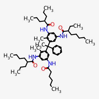 CCCCCC(=O)Nc1cc(NC(=O)C(CCC)CCCC)c(C)c(C(C)(c2ccccc2)c2cc(NC(=O)C(CC)CCCCC)cc(NC(=O)C(CCC)CCC)c2C)c1